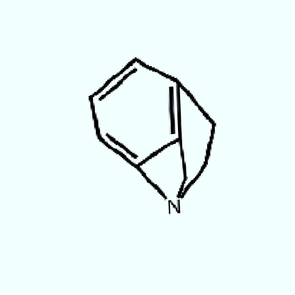 c1cc2c3c(c1)N(CC2)C3